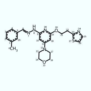 Cc1cccc(C=NNc2cc(N3CCOCC3)cc(OCCc3nccs3)n2)c1